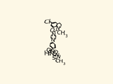 Cc1nnc(NS(=O)(=O)c2ccc(N3CCN(C(=O)C(C)N4CCCc5cc(Cl)ccc54)CC3)cc2)s1